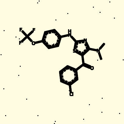 CN(C)c1nc(Nc2ccc(OC(F)(F)F)cc2)sc1C(=O)c1cccc(Cl)c1